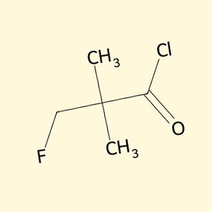 CC(C)(CF)C(=O)Cl